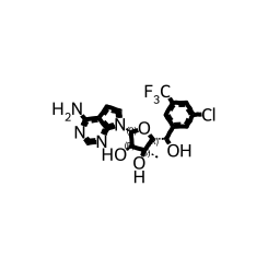 C[C@@]1(O)[C@@H](C(O)c2cc(Cl)cc(C(F)(F)F)c2)O[C@@H](n2ccc3c(N)ncnc32)[C@@H]1O